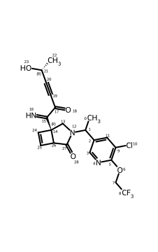 CC(c1cnc(OCC(F)(F)F)c(Cl)c1)N1C[C@@]2(C(=N)C(=O)C#C[C@@H](C)O)C=CC2C1=O